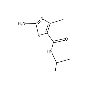 Cc1nc(N)sc1C(=O)NC(C)C